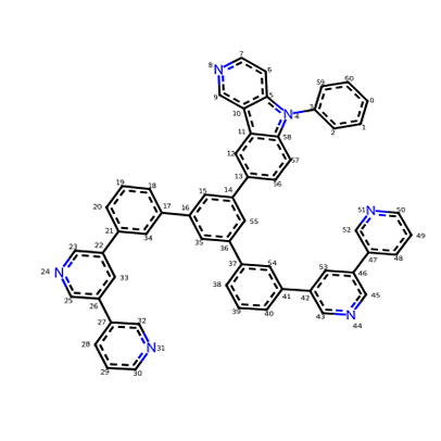 c1ccc(-n2c3ccncc3c3cc(-c4cc(-c5cccc(-c6cncc(-c7cccnc7)c6)c5)cc(-c5cccc(-c6cncc(-c7cccnc7)c6)c5)c4)ccc32)cc1